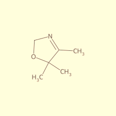 CC1=NCOC1(C)C